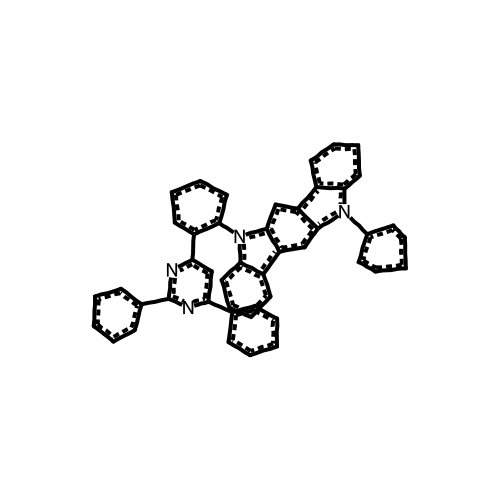 c1ccc(-c2cc(-c3ccccc3-n3c4ccccc4c4cc5c(cc43)c3ccccc3n5-c3ccccc3)nc(-c3ccccc3)n2)cc1